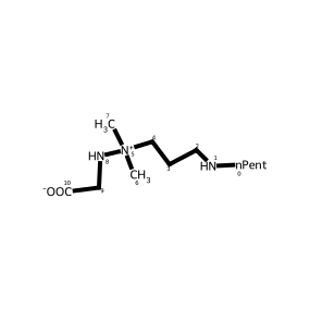 CCCCCNCCC[N+](C)(C)NCC(=O)[O-]